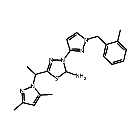 Cc1cc(C)n(C(C)C2=NN(c3ccn(Cc4ccccc4C)n3)C(N)S2)n1